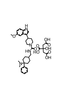 COc1ccc2[nH]cc(C3CCN(C(=O)NCC4CCC(c5ccccc5)(N(C)C)CC4)CC3)c2c1.O=C(O)CC(O)(CC(=O)O)C(=O)O